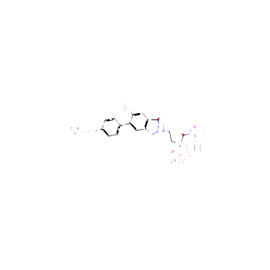 COc1ccc(-c2cc3c(cc2F)C(=O)N(CC[C@](C)(C(=O)NO)S(C)(=O)=O)C3)cc1